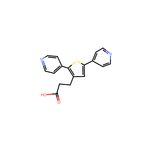 O=C(O)CCc1cc(-c2ccncc2)sc1-c1ccncc1